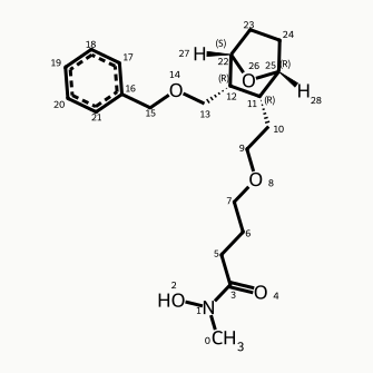 CN(O)C(=O)CCCOCC[C@@H]1[C@H](COCc2ccccc2)[C@@H]2CC[C@H]1O2